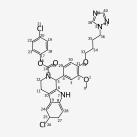 COc1cc(C2c3[nH]c4c(c3CCN2C(=O)Oc2ccc(Cl)cc2)=CC(Cl)CC=4)ccc1OCCCCn1cncn1